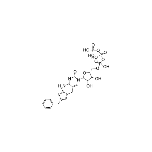 Nc1nc(=O)n([C@@H]2O[C@H](COP(=O)(O)OP(=O)(O)OP(=O)(O)O)C(O)[C@@H]2O)cc1Cc1cn(Cc2ccccc2)nn1